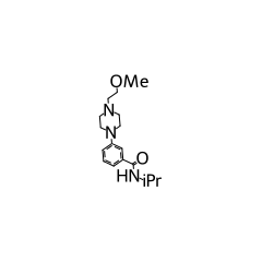 COCCN1CCN(c2cccc(C(=O)NC(C)C)c2)CC1